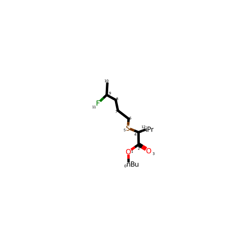 CCCCOC(=O)C(SCCCC(C)F)C(C)C